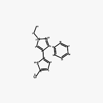 CCn1cc(-c2ccc(Cl)s2)cn1.c1ccccc1